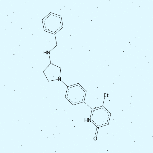 CCc1ccc(=O)[nH]c1-c1ccc(N2CCC(NCc3ccccc3)C2)cc1